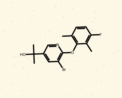 Cc1ccc(F)c(C)c1Oc1ncc(C(C)(C)O)cc1Br